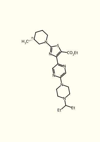 CCOC(=O)c1sc(N2CCC[C@@H](C)C2)nc1-c1cnc(N2CCN(C(CC)CC)CC2)cn1